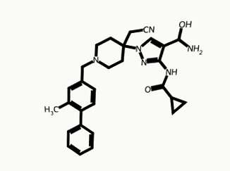 Cc1cc(CN2CCC(CC#N)(n3cc(C(N)O)c(NC(=O)C4CC4)n3)CC2)ccc1-c1ccccc1